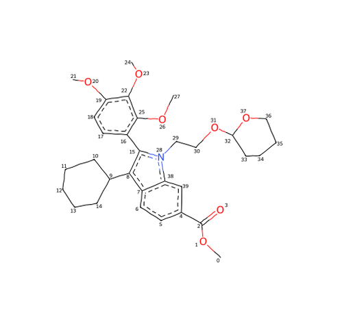 COC(=O)c1ccc2c(C3CCCCC3)c(-c3ccc(OC)c(OC)c3OC)n(CCOC3CCCCO3)c2c1